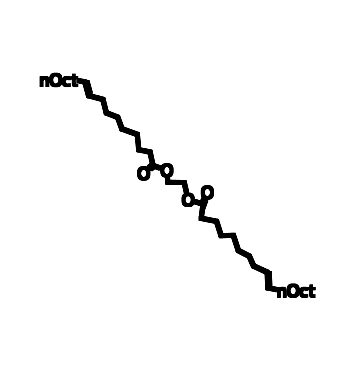 CCCCCCCC/C=C/CCCCCCCC(=O)OCCOC(=O)CCCCCCC/C=C/CCCCCCCC